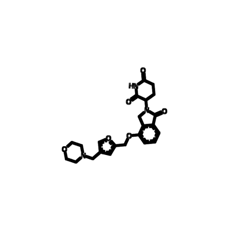 O=C1CCC(N2Cc3c(OCc4cc(CN5CCOCC5)co4)cccc3C2=O)C(=O)N1